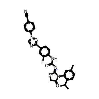 Cc1ccc(C(C)C)c(N2C(=O)CS/C2=N\C(=O)Nc2ccc(-c3ncn(-c4ccc(C#N)cc4)n3)cc2F)c1